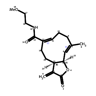 C=C1C(=O)O[C@@H]2/C=C(\C)CC/C=C(\C(=O)NCCOC)CC[C@H]12